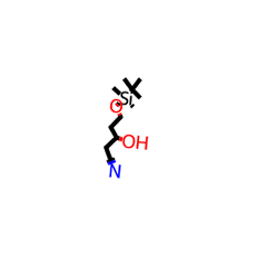 CC(C)(C)[Si](C)(C)OCCC(O)CC#N